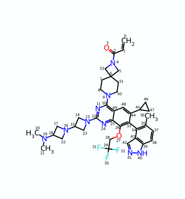 C=CC(=O)N1CC2(CCN(c3nc(N4CC(N5CC(N(C)C)C5)C4)nc4c(OCC(F)(F)F)c(-c5c(C)ccc6[nH]ncc56)c(C5CC5)cc34)CC2)C1